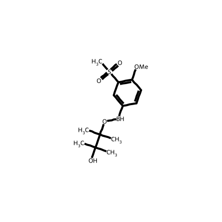 COc1ccc(BOC(C)(C)C(C)(C)O)cc1S(C)(=O)=O